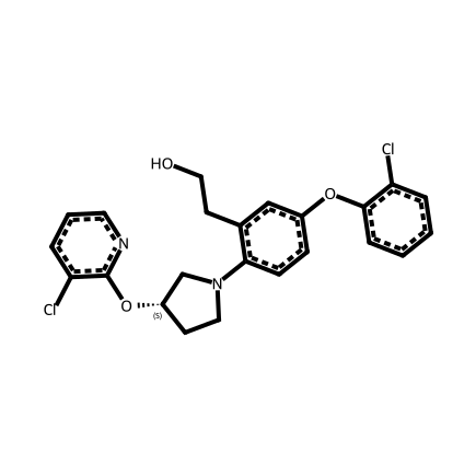 OCCc1cc(Oc2ccccc2Cl)ccc1N1CC[C@H](Oc2ncccc2Cl)C1